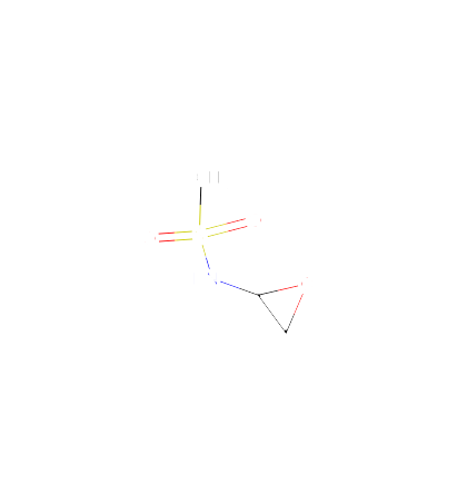 CS(=O)(=O)NC1CO1